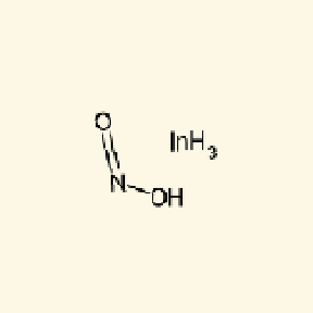 O=NO.[InH3]